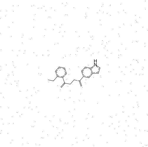 C=C(CCC(=C)c1ccccc1CC)c1ccc2[nH]ccc2c1